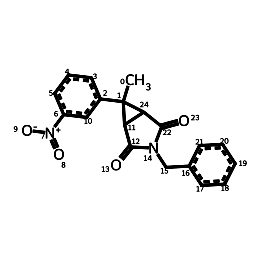 CC1(c2cccc([N+](=O)[O-])c2)C2C(=O)N(Cc3ccccc3)C(=O)C21